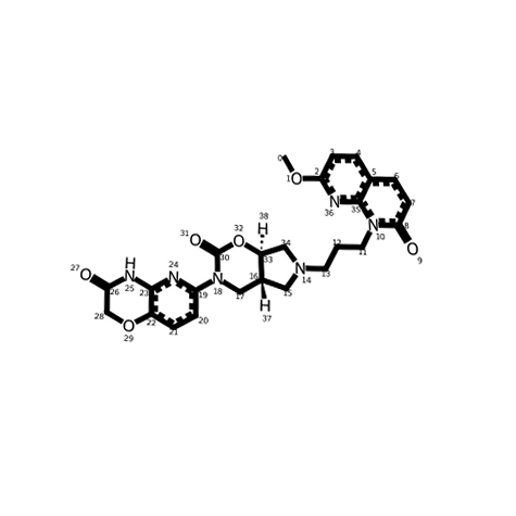 COc1ccc2ccc(=O)n(CCCN3C[C@@H]4CN(c5ccc6c(n5)NC(=O)CO6)C(=O)O[C@H]4C3)c2n1